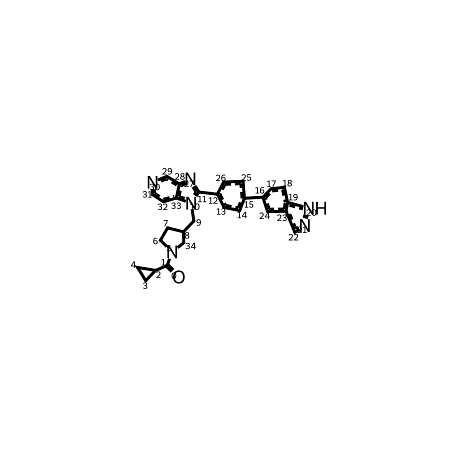 O=C(C1CC1)N1CCC(Cn2c(-c3ccc(-c4ccc5[nH]ncc5c4)cc3)nc3cnccc32)C1